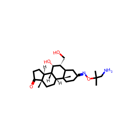 CC(C)(CN)ON=C1CC[C@@]2(C)C(C1)[C@@H](CO)[C@@H](O)[C@@H]1[C@@H]2CC[C@]2(C)C(=O)CC[C@@H]12